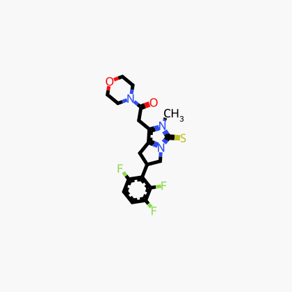 Cn1c(CC(=O)N2CCOCC2)c2n(c1=S)CC(c1c(F)ccc(F)c1F)C2